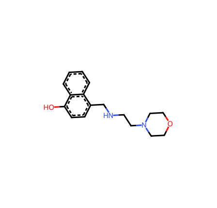 Oc1ccc(CNCCN2CCOCC2)c2ccccc12